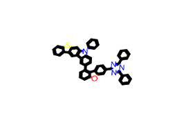 c1ccc(-c2nc(-c3ccccc3)nc(-c3ccc4c(c3)oc3cccc(-c5ccc6c(c5)c5cc7c(cc5n6-c5ccccc5)sc5ccccc57)c34)n2)cc1